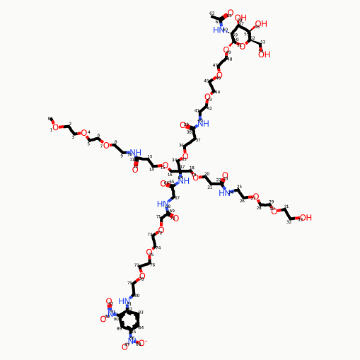 COCCOCCOCCNC(=O)CCOCC(COCCC(=O)NCCOCCOCCO)(COCCC(=O)NCCOCCOCCO[C@@H]1O[C@H](CO)[C@H](O)[C@H](O)[C@H]1NC(C)=O)NC(=O)CNC(=O)COCCOCCOCCNc1ccc([N+](=O)[O-])cc1[N+](=O)[O-]